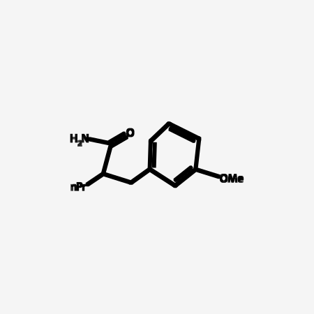 CCCC(Cc1cccc(OC)c1)C(N)=O